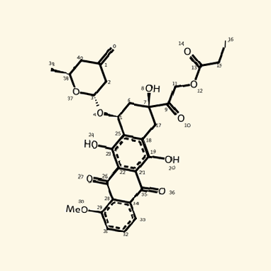 C=C1C[C@H](O[C@H]2C[C@](O)(C(=O)COC(=O)CI)Cc3c(O)c4c(c(O)c32)C(=O)c2c(OC)cccc2C4=O)O[C@@H](C)C1